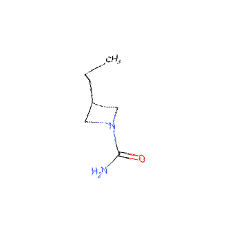 CCC1CN(C(N)=O)C1